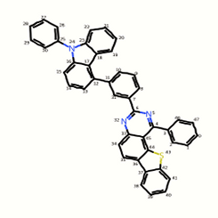 c1ccc(-c2nc(-c3cccc(-c4cccc5c4c4ccccc4n5-c4ccccc4)c3)nc3ccc4c5ccccc5sc4c23)cc1